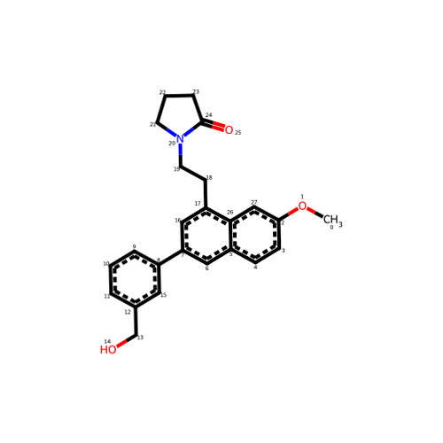 COc1ccc2cc(-c3cccc(CO)c3)cc(CCN3CCCC3=O)c2c1